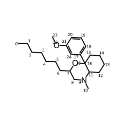 CCCCCCCC1CN(C)C2CCCCC2(c2cccc(OC)c2)O1